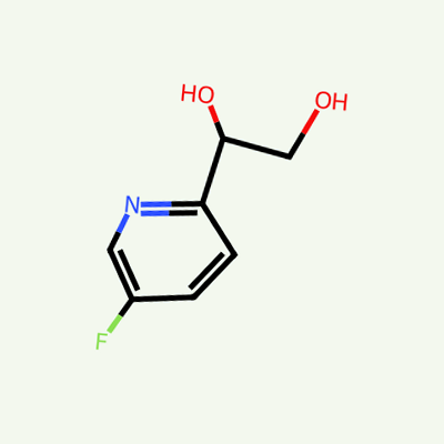 OCC(O)c1ccc(F)cn1